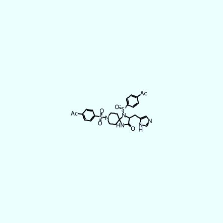 CC(=O)c1ccc([S+]([O-])N2C(Cc3cnc[nH]3)C(=O)NC23CCN(S(=O)(=O)c2ccc(C(C)=O)cc2)CC3)cc1